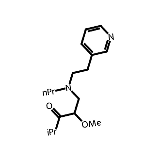 [CH2]CCN(CCc1cccnc1)CC(OC)C(=O)C(C)C